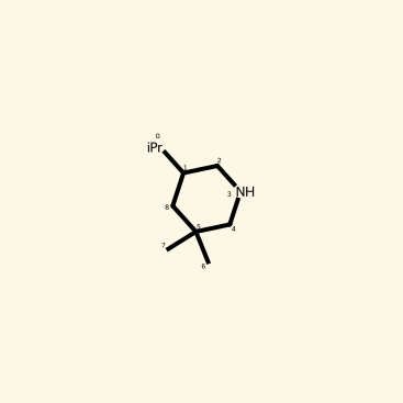 CC(C)C1CNCC(C)(C)C1